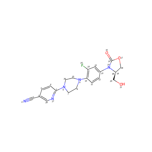 N#Cc1ccc(N2CCN(c3ccc(N4C(=O)OC[C@H]4CO)cc3F)CC2)nc1